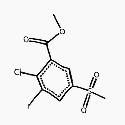 COC(=O)c1cc(S(C)(=O)=O)cc(I)c1Cl